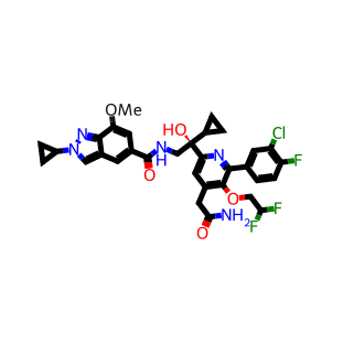 COc1cc(C(=O)NC[C@](O)(c2cc(CC(N)=O)c(OCC(F)F)c(-c3ccc(F)c(Cl)c3)n2)C2CC2)cc2cn(C3CC3)nc12